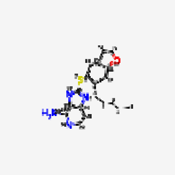 CCCCCn1c(Sc2ccc3occc3c2)nc2c(N)nccc21